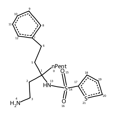 CCCCCC(CCN)(CCc1ccccc1)NS(=O)(=O)c1cccs1